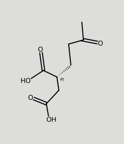 CC(=O)CC[C@H](CC(=O)O)C(=O)O